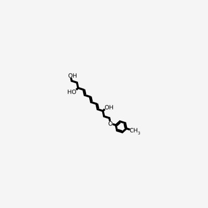 Cc1ccc(OCCC(O)C=CC=CC=CC(O)CCO)cc1